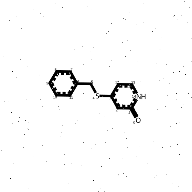 O=c1cc(SCc2ccccc2)cc[nH]1